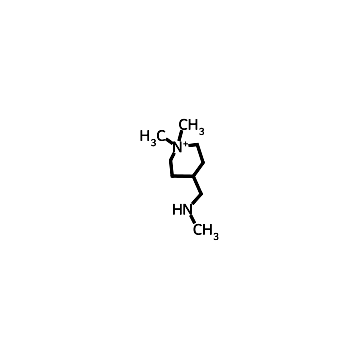 CNCC1CC[N+](C)(C)CC1